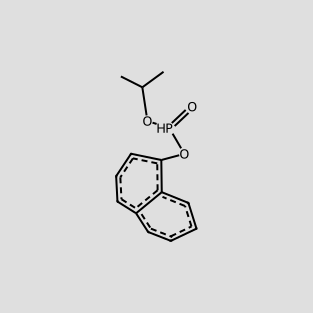 CC(C)O[PH](=O)Oc1cccc2ccccc12